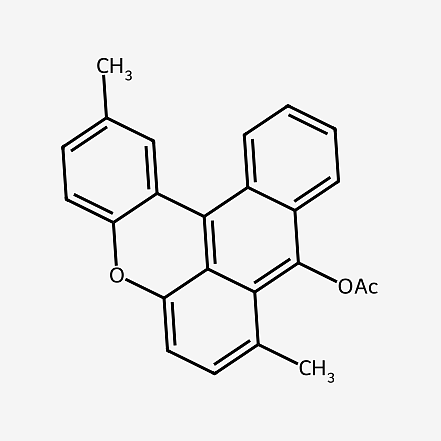 CC(=O)Oc1c2ccccc2c2c3c(ccc(C)c13)Oc1ccc(C)cc1-2